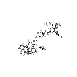 CCC1(c2ccccc2OCCCCN2CCN(CCc3cc(OC)c(OC)c(OC)c3)CC2)Sc2ccccc2C(C)[NH+]1[O-].Cl.Cl